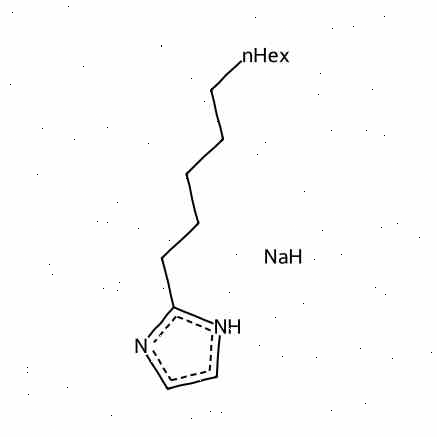 CCCCCCCCCCCc1ncc[nH]1.[NaH]